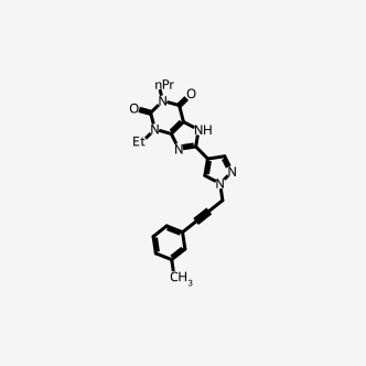 CCCn1c(=O)c2[nH]c(-c3cnn(CC#Cc4cccc(C)c4)c3)nc2n(CC)c1=O